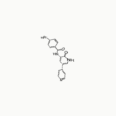 CCCc1ccc(C(=O)Nc2cc(-c3ccncc3)c[nH]c2=O)cc1